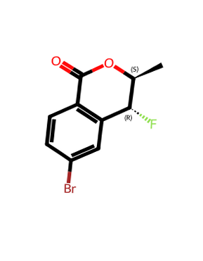 C[C@@H]1OC(=O)c2ccc(Br)cc2[C@H]1F